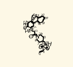 C=CS(=O)(=O)NC1CCN(C(=O)CNc2cc(-c3ccccc3Cl)c(Cl)cc2O)CC1